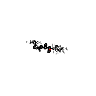 COC(=O)N[C@H](C(=O)N1CCC[C@H]1c1ncc(-c2ccc(-c3ccc(-c4ccc5nc([C@@H]6CCCN6C(=O)[C@@H](NC(=O)OC)C(C)C)[nH]c(=O)c5c4)c4c3C3CCC4C3)c3c2C2CCC3C2)[nH]1)C(C)C